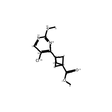 COC(=O)C12CC(c3nc(SC)ncc3Cl)(C1)C2